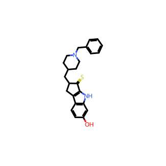 Oc1ccc2c3c([nH]c2c1)C(=S)C(CC1CCN(Cc2ccccc2)CC1)C3